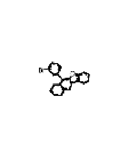 Brc1cccc(-c2c3ccccc3cc3c2oc2ccccc23)c1